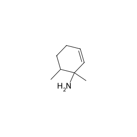 CC1CCC=CC1(C)N